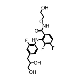 O=C(NOCCO)c1ccc(F)c(F)c1Nc1ccc(CC(O)CO)cc1F